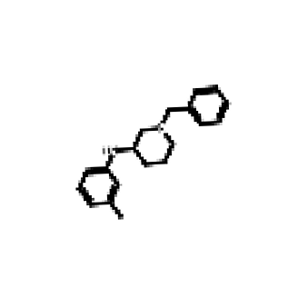 Cc1cccc(NC2CCCN(Cc3ccccc3)C2)c1